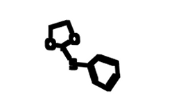 c1ccc(S[C]2OCCO2)cc1